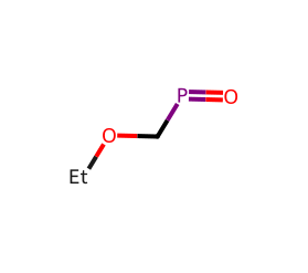 CCOCP=O